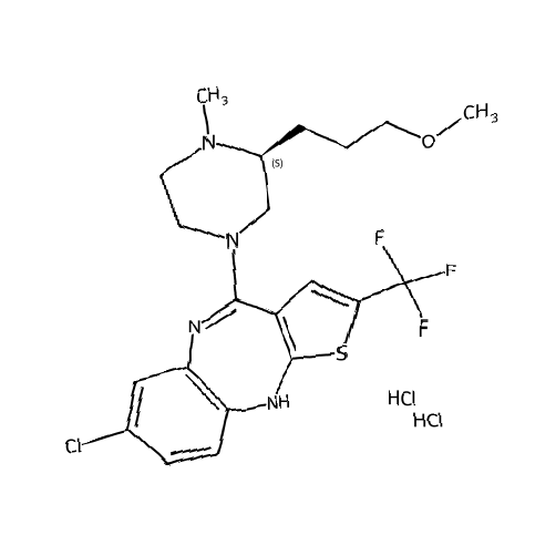 COCCC[C@H]1CN(C2=Nc3cc(Cl)ccc3Nc3sc(C(F)(F)F)cc32)CCN1C.Cl.Cl